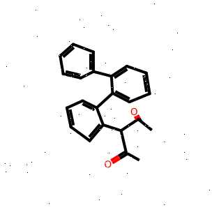 CC(=O)C(C(C)=O)c1ccccc1-c1ccccc1-c1ccccc1